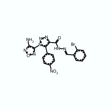 Nc1nonc1-n1nnc(C(=O)N/N=C/c2ccccc2Br)c1-c1ccc([N+](=O)[O-])cc1